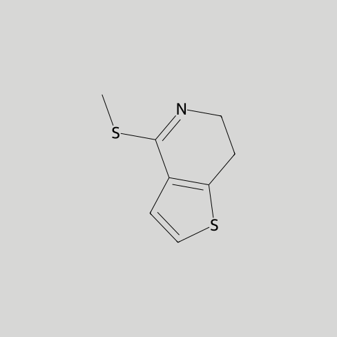 CSC1=NCCc2sccc21